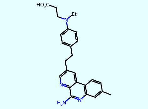 CCN(CCC(=O)O)c1ccc(CCc2cnc3c(N)nc4cc(C)ccc4c3c2)cc1